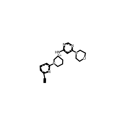 C#Cc1cccc(N2CCC[C@@H](Nc3cc(N4CCOCC4)ncn3)C2)n1